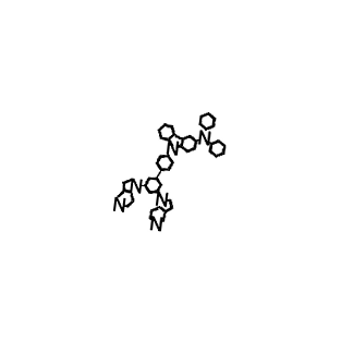 c1ccc(N(c2ccccc2)c2ccc3c(c2)c2ccccc2n3-c2ccc(-c3cc(-n4ccc5cnccc54)cc(-n4ccc5cnccc54)c3)cc2)cc1